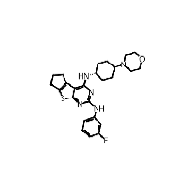 Fc1cccc(Nc2nc(N[C@H]3CC[C@H](N4CCOCC4)CC3)c3c4c(sc3n2)CCC4)c1